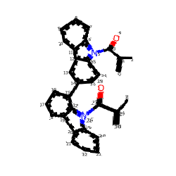 C=C(C)C(=O)n1c2ccccc2c2cc(-c3cccc4c5ccccc5n(C(=O)C(=C)C)c34)ccc21